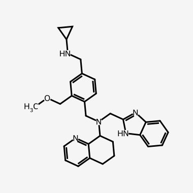 COCc1cc(CNC2CC2)ccc1CN(Cc1nc2ccccc2[nH]1)C1CCCc2cccnc21